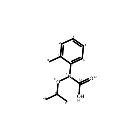 Cc1ccccc1N(OC(C)C)C(=O)O